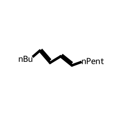 [CH2]CCCCC=CC=CCCCC